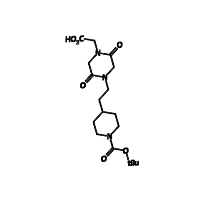 CC(C)(C)OC(=O)N1CCC(CCN2CC(=O)N(CC(=O)O)CC2=O)CC1